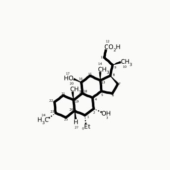 CC[C@H]1[C@@H](O)C2C3CC[C@H]([C@H](C)CC(=O)O)[C@@]3(C)C[C@H](O)C2[C@@]2(C)CC[C@@H](C)C[C@@H]12